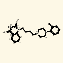 Cc1ccccc1N1CCN(CCCCn2c(=O)[nH]c(=O)c3ccccc32)CC1